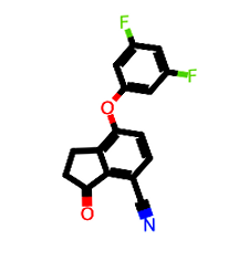 N#Cc1ccc(Oc2cc(F)cc(F)c2)c2c1C(=O)CC2